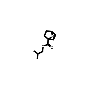 CC(C)COC(=O)C12CCC(CC1)N2